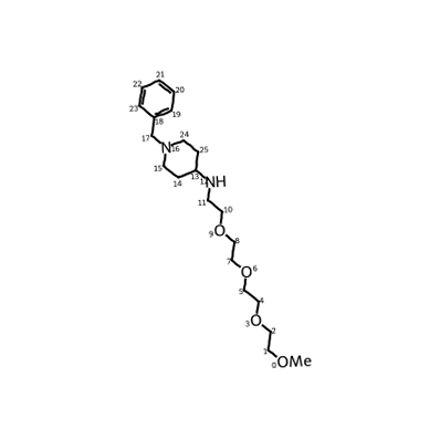 COCCOCCOCCOCCNC1CCN(Cc2ccccc2)CC1